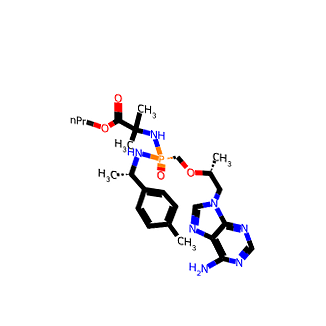 CCCOC(=O)C(C)(C)N[P@](=O)(CO[C@H](C)Cn1cnc2c(N)ncnc21)N[C@@H](C)c1ccc(C)cc1